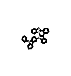 c1ccc(-n2c3ccccc3c3cc(-n4c5ccccc5c5c6ccccc6c6nc7ccccc7n6c54)ccc32)cc1